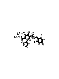 COC(=O)c1c(OC)c(=O)c(C(=O)NCc2c(F)cc(F)cc2F)cn1C1CCOC1